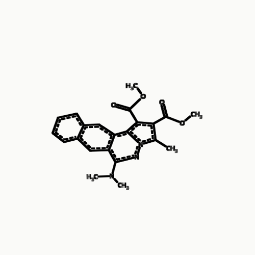 COC(=O)c1c(C(=O)OC)c2c3cc4ccccc4cc3c(N(C)C)nn2c1C